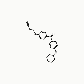 C#CCCOc1ccc(C(=O)c2ccc(OC3CCCCC3)cc2)cc1